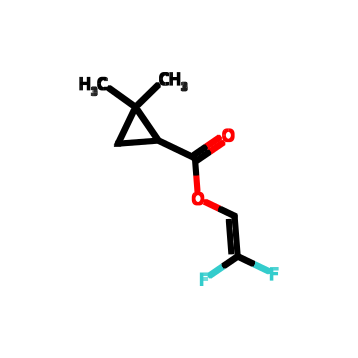 CC1(C)CC1C(=O)OC=C(F)F